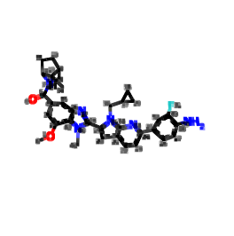 COc1cc(C(=O)N2CC3CCC2[C@@H]3C)cc2nc(-c3cc4ccc(-c5ccc(N)c(F)c5)nc4n3CC3CC3)n(C)c12